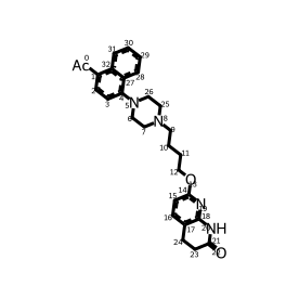 CC(=O)c1ccc(N2CCN(CCCCOc3ccc4c(n3)NC(=O)CC4)CC2)c2ccccc12